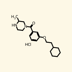 CC1CN(C(=O)c2cccc(OCCC3CCCCC3)c2)CCN1.Cl